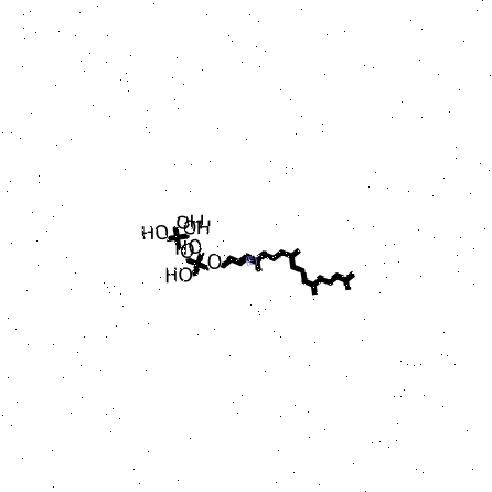 C/C(=C\CCCOCC(CO)(CO)COCC(CO)(CO)CO)CCCC(C)CCCC(C)CCCC(C)C